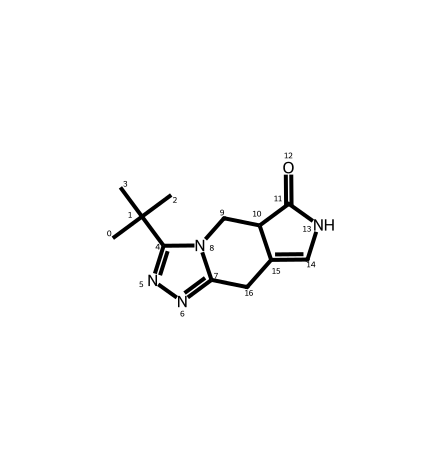 CC(C)(C)c1nnc2n1CC1C(=O)NC=C1C2